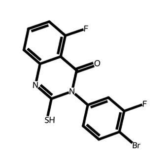 O=c1c2c(F)cccc2nc(S)n1-c1ccc(Br)c(F)c1